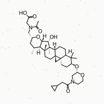 CC(=O)N(CC(=O)O)C[C@H]1C[C@@H](C)[C@H]2[C@H](O1)[C@H](O)[C@@]1(C)[C@@H]3CC[C@H]4C(C)(C)[C@@H](O[C@H]5CN(C(=O)CC6CC6)CCO5)CC[C@@]45C[C@@]35CC[C@]21C